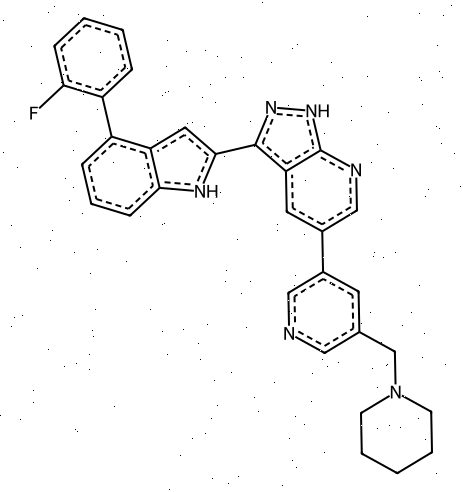 Fc1ccccc1-c1cccc2[nH]c(-c3n[nH]c4ncc(-c5cncc(CN6CCCCC6)c5)cc34)cc12